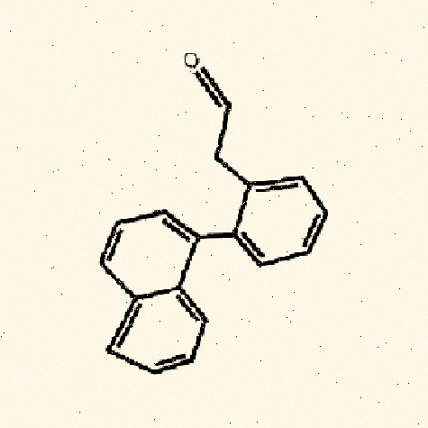 O=CCc1ccccc1-c1cccc2ccccc12